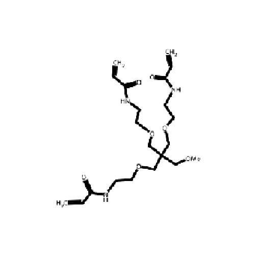 C=CC(=O)NCCOCC(COC)(COCCNC(=O)C=C)COCCNC(=O)C=C